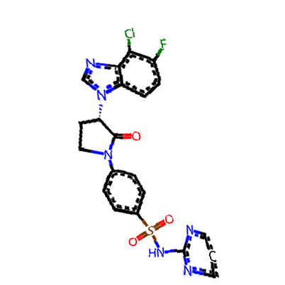 O=C1[C@@H](n2cnc3c(Cl)c(F)ccc32)CCN1c1ccc(S(=O)(=O)Nc2ncccn2)cc1